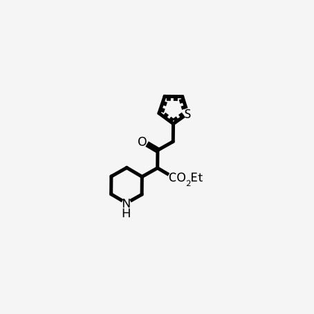 CCOC(=O)C(C(=O)Cc1cccs1)C1CCCNC1